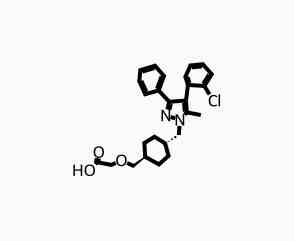 Cc1c(-c2ccccc2Cl)c(-c2ccccc2)nn1C[C@H]1CC[C@H](COCC(=O)O)CC1